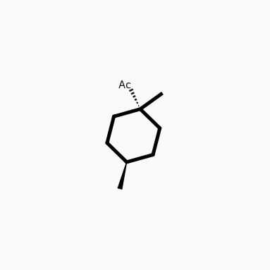 CC(=O)[C@]1(C)CC[C@@H](C)CC1